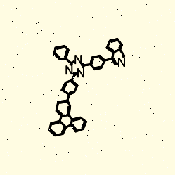 c1ccc(-c2nc(-c3ccc(-c4ccc5c6ccccc6c6ccccc6c5c4)cc3)nc(-c3ccc(-c4cncc5ccccc45)cc3)n2)cc1